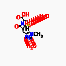 Cn1cc(/C=C2/C(=O)N3C(C(=O)O)=CS[C@H]23)nn1.O.O.O.O.O.O.O.O.O.O.O.O